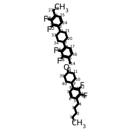 CCCCCc1ccc(C2CCC(OCc3ccc(C4CCC(c5ccc(CC)c(F)c5F)CC4)c(F)c3F)CC2)c(F)c1F